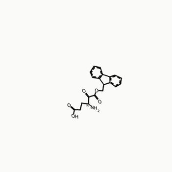 N[C@@H](CCC(=O)O)C(=O)C(=O)OCC1c2ccccc2-c2ccccc21